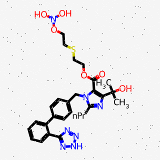 CCCc1nc(C(C)(C)O)c(C(=O)OCCSCCON(O)O)n1Cc1ccc(-c2ccccc2-c2nn[nH]n2)cc1